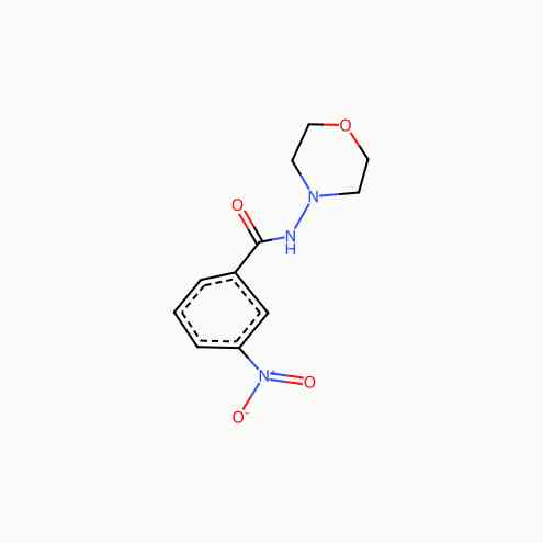 O=C(NN1CCOCC1)c1cccc([N+](=O)[O-])c1